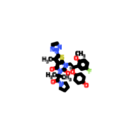 COc1ccc(F)cc1[C@H](Cn1c(=O)n(C(C)(C)C(=O)N2CCCC2)c(=O)c2c(C)c(-n3nccn3)sc21)OC1CCC(=O)CC1